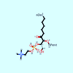 CCCCCCCCCCCCCCCC(=O)C(OCCCCC)[C@H](CO)OP(=O)([O-])OCC[N+](C)(C)C